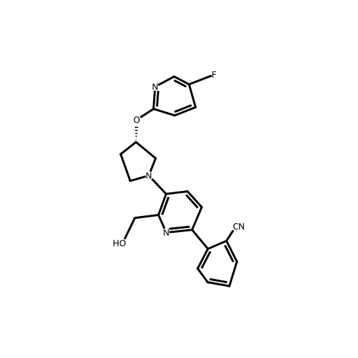 N#Cc1ccccc1-c1ccc(N2CC[C@H](Oc3ccc(F)cn3)C2)c(CO)n1